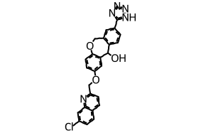 OC1c2ccc(-c3nnn[nH]3)cc2COc2ccc(OCc3ccc4ccc(Cl)cc4n3)cc21